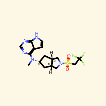 CN(c1ncnc2[nH]ccc12)[C@@H]1C[C@@H]2CN(S(=O)(=O)CC(F)(F)F)C[C@@H]2C1